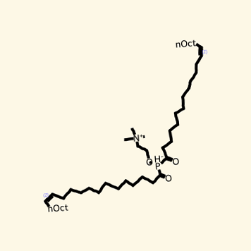 CCCCCCCC/C=C\CCCCCCCCCCCC(=O)[PH-](OCC[N+](C)(C)C)C(=O)CCCCCCCCCCC/C=C\CCCCCCCC